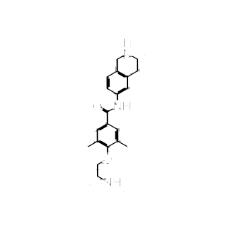 Cc1cc(C(=O)Nc2ccc3c(c2)CCNC3)cc(C)c1OC[C@@H](C)N